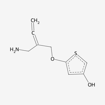 C=C=C(CN)COc1cc(O)cs1